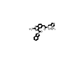 CN(Cc1cncn1C)C(=O)Cc1ccc2nc(N)nc(C(=O)n3cc4ccccc4c3)c2c1